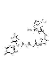 COc1c(C(C)(C)C)cc(CN2CC[C@@H](CNCCCCCC(c3ccc(F)cc3)c3ccc(F)cc3)C2)cc1C(C)(C)C